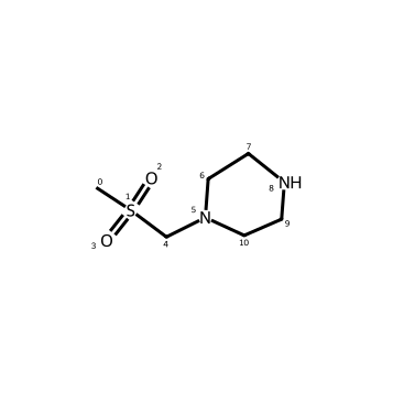 CS(=O)(=O)CN1CCNCC1